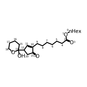 CCCCCCOC(=O)CCCCCCC1=CC(C2(O)CCCCO2)CC1=O